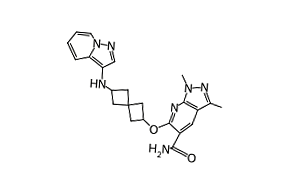 Cc1nn(C)c2nc(OC3CC4(CC(Nc5cnn6ccccc56)C4)C3)c(C(N)=O)cc12